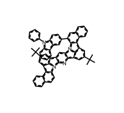 CC(C)(C)c1cc2c3cc4c(nc3n3c5ccc6ccccc6c5c(c1)c23)c1cc(C(C)(C)C)cc2c3c5ccccc5cc(-c5ccc6c(c5)c5ccccc5n6-c5ccccc5)c3n4c12